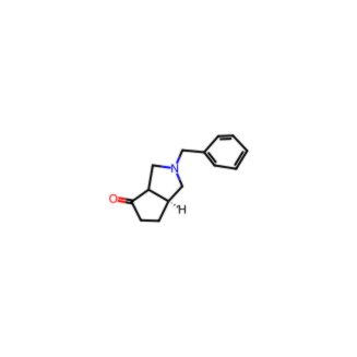 O=C1CC[C@@H]2CN(Cc3ccccc3)CC12